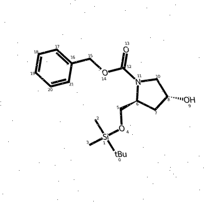 CC(C)(C)[Si](C)(C)OC[C@@H]1C[C@@H](O)CN1C(=O)OCc1ccccc1